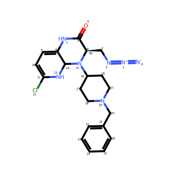 [N-]=[N+]=NC[C@@H]1C(=O)NC2=CC=C(Cl)NC2N1C1CCN(Cc2ccccc2)CC1